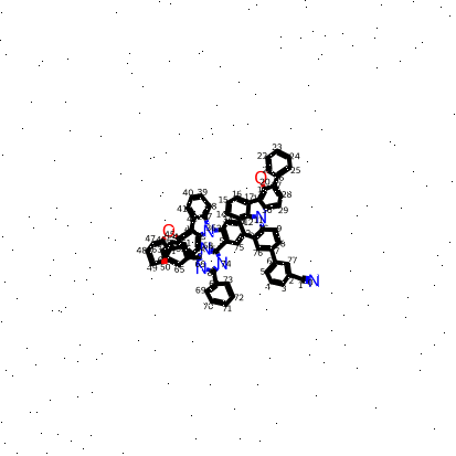 N#Cc1cccc(-c2ccc(-n3c4ccccc4c4c5oc6ccccc6c5ccc43)c(-c3ccc(-n4c5ccccc5c5c6oc7ccccc7c6ccc54)c(-c4nc(-c5ccccc5)nc(-c5ccccc5)n4)c3)c2)c1